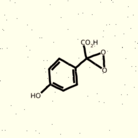 O=C(O)C1(c2ccc(O)cc2)OO1